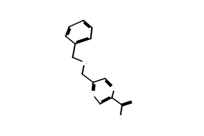 NC(=O)c1cnc(CNCc2ccccc2)cn1